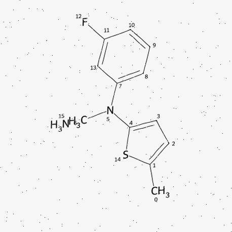 Cc1ccc(N(C)c2cccc(F)c2)s1.N